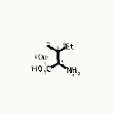 CCC(C)C(N)C(=O)O.[Cu]